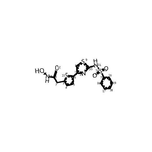 O=C(Cc1ccc(-c2csc(NS(=O)(=O)c3ccccc3)n2)s1)NO